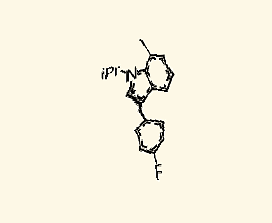 Cc1cccc2c(-c3ccc(F)cc3)cn(C(C)C)c12